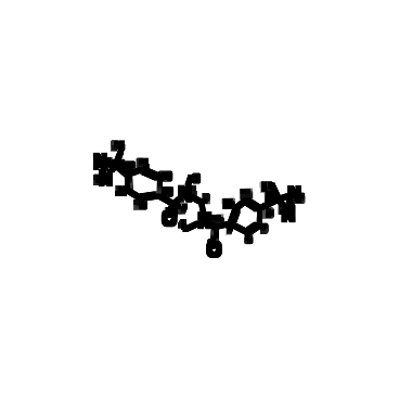 CN(CN(C)C(=O)c1ccc(C2(C)N=N2)cc1)C(=O)c1ccc(C2(C)N=N2)cc1